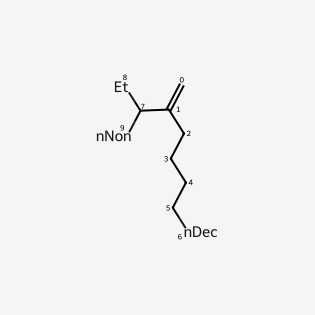 C=C(CCCCCCCCCCCCCC)C(CC)CCCCCCCCC